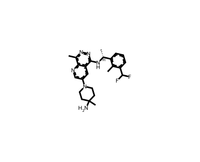 Cc1c(C(F)F)cccc1[C@@H](C)Nc1nnc(C)c2ncc(N3CCC(C)(N)CC3)cc12